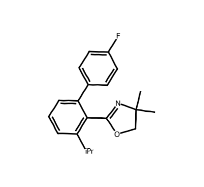 CC(C)c1cccc(-c2ccc(F)cc2)c1C1=NC(C)(C)CO1